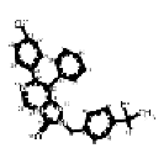 CC(F)(F)c1ccc(Cn2nc3c(-c4ccccc4)c(-c4ccc(Cl)cc4)ncn3c2=O)cc1